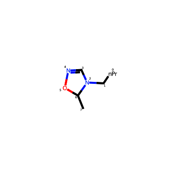 CCCCN1C=NOC1C